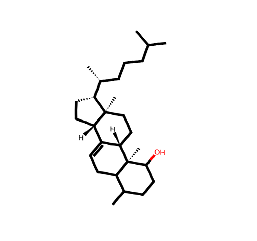 CC(C)CCC[C@@H](C)[C@H]1CC[C@H]2C3=CCC4C(C)CCC(O)[C@]4(C)[C@H]3CC[C@]12C